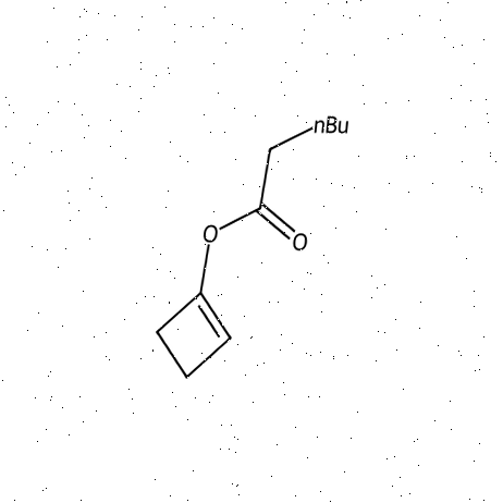 CCCCCC(=O)OC1=CCC1